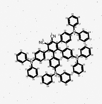 N#Cc1c(C#N)c(-c2ccc(N(c3ccccc3)c3ccccc3)cc2)c(-c2ccc(N(c3ccccc3)c3ccccc3)cc2)c(-c2ccc(N(c3ccccc3)c3ccccc3)cc2)c1-c1ccc(N(c2ccccc2)c2ccccc2)cc1